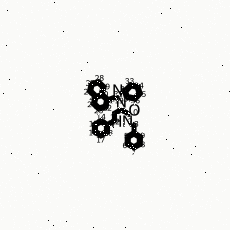 O=C(NCc1ccccc1)C(CCc1ccccc1)n1c(-c2cccc3ccccc23)nc2ccccc21